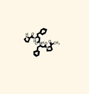 CC(=O)C1CCCN1C(=O)CC(Cc1ccccc1)NC(=O)CC(Cc1ccccc1)NC(=O)C1CCCN1